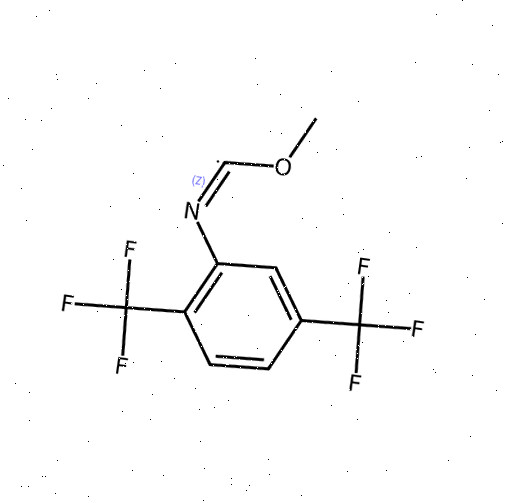 CO/[C]=N\c1cc(C(F)(F)F)ccc1C(F)(F)F